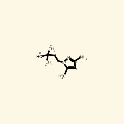 Cc1cc(N)nn1CCC(C)(C)O